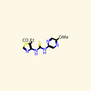 CCOC(=O)c1scnc1NC(=S)Nc1cnc(OC)cn1